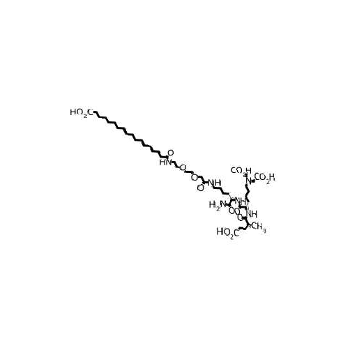 C[C@@H](CCC(=O)O)C(=O)N[C@@H](CCCCN(CC(=O)O)CC(=O)O)C(=O)N[C@@H](CCCCNC(=O)COCCOCCNC(=O)CCCCCCCCCCCCCCCCC(=O)O)C(N)=O